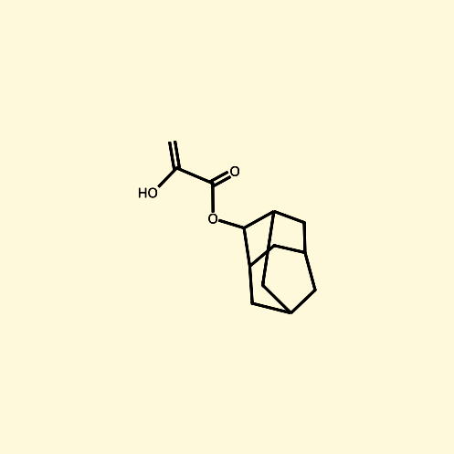 C=C(O)C(=O)OC1C2CC3CC(C2)CC1C3